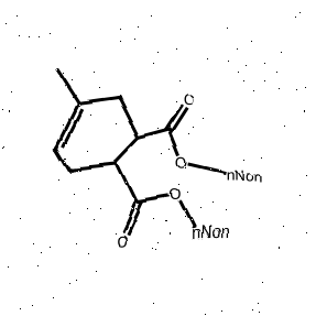 CCCCCCCCCOC(=O)C1CC=C(C)CC1C(=O)OCCCCCCCCC